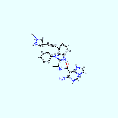 CC(NC(=O)c1c(N)ncn2ccnc12)c1nc2cccc(C#Cc3cnn(C)c3)c2n1-c1ccccc1